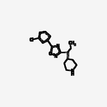 CCC(=C1CCNCC1)c1noc(-c2cccc(Cl)c2)n1